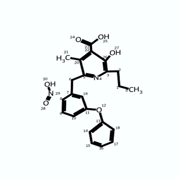 CCCc1nc(Cc2cccc(Oc3ccccc3)c2)c(C)c(C(=O)O)c1O.O=NO